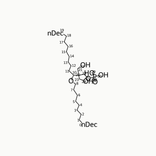 CCCCCCCCCCCCCCCCCCOC(CCCCCCCCCCCCCCCCCC)C(CO)(CO)COP(=O)(O)O